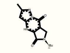 CC[C@H](C)N1Cc2c([nH]c3cc(C)nn3c2=O)C1=O